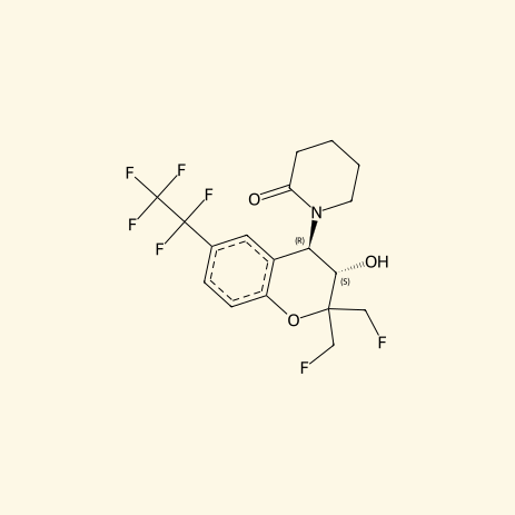 O=C1CCCCN1[C@@H]1c2cc(C(F)(F)C(F)(F)F)ccc2OC(CF)(CF)[C@H]1O